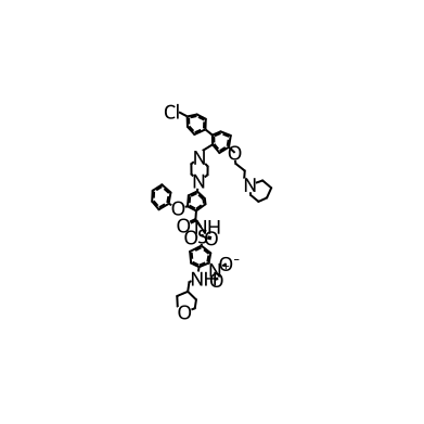 O=C(NS(=O)(=O)c1ccc(NCC2CCOCC2)c([N+](=O)[O-])c1)c1ccc(N2CCN(Cc3cc(OCCCN4CCCCC4)ccc3-c3ccc(Cl)cc3)CC2)cc1Oc1ccccc1